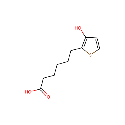 O=C(O)CCCCCc1sccc1O